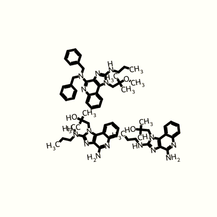 CCCN(C)c1nc2c(N)nc3ccccc3c2n1CC(C)(C)O.CCCNc1nc2c(N(Cc3ccccc3)Cc3ccccc3)nc3ccccc3c2n1CC(C)(C)OC.CCCNc1nc2c(N)nc3ccccc3c2n1CC(C)(C)O